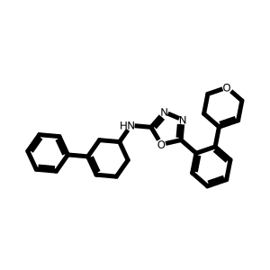 C1=C(c2ccccc2)CC(Nc2nnc(-c3ccccc3C3=CCOCC3)o2)CC1